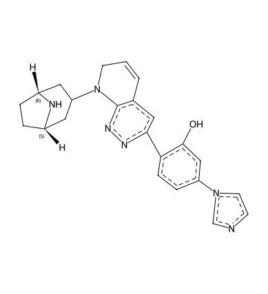 Oc1cc(-n2ccnc2)ccc1-c1cc2c(nn1)N(C1C[C@H]3CC[C@@H](C1)N3)CC=C2